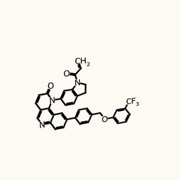 C=CC(=O)N1CCc2ccc(-n3c(=O)ccc4cnc5ccc(-c6ccc(COc7cccc(C(F)(F)F)c7)cc6)cc5c43)cc21